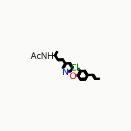 C/C=C/c1ccc(Oc2ccc(/C=C/[C@H](C)NC(C)=O)cn2)c(Cl)c1